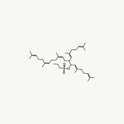 CCCS(=O)(=O)OC(/C=C(\C)CCC=C(C)C)C(/C=C(\C)CCC=C(C)C)CC=C(C)CCC=C(C)CCC=C(C)C